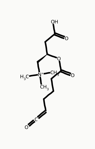 C[N+](C)(C)C[C@@H](CC(=O)O)OC(=O)CCCC=C=O